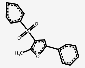 Cc1oc(-c2ccccc2)cc1S(=O)(=O)c1ccccc1